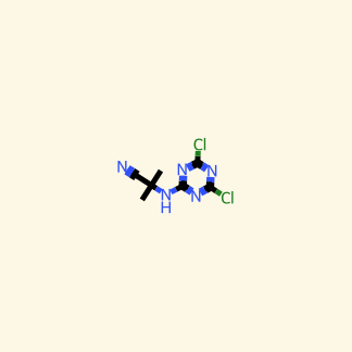 CC(C)(C#N)Nc1nc(Cl)nc(Cl)n1